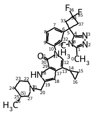 Cc1nnc(C2(c3cccc(-n4cc(C5CC5)c5cc(CN6CCC[C@H](C)C6)[nH]c5c4=O)c3)CC(F)(F)C2)n1C